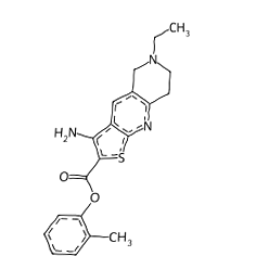 CCN1CCc2nc3sc(C(=O)Oc4ccccc4C)c(N)c3cc2C1